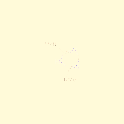 CNC1=NCN=C(NC)N1